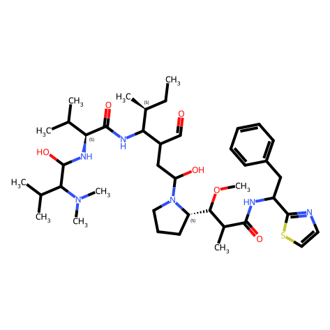 CC[C@H](C)C(NC(=O)[C@@H](NC(O)C(C(C)C)N(C)C)C(C)C)C(C=O)CC(O)N1CCC[C@H]1C(OC)C(C)C(=O)NC(Cc1ccccc1)c1nccs1